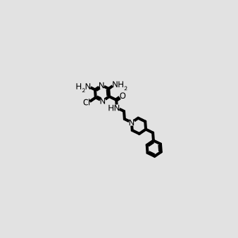 Nc1nc(N)c(C(=O)NCCN2CCC(Cc3ccccc3)CC2)nc1Cl